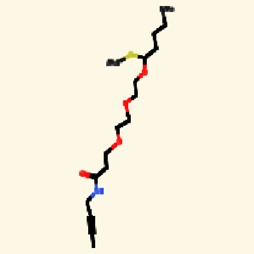 CC#CCNC(=O)CCOCCOCCOC(CCCNC)SSC